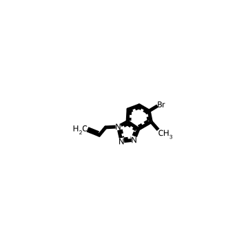 C=CCn1nnc2c(C)c(Br)ccc21